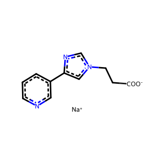 O=C([O-])CCn1cnc(-c2cccnc2)c1.[Na+]